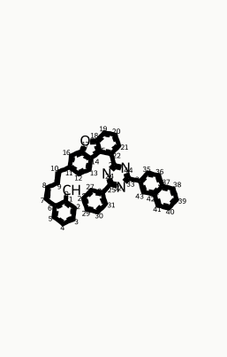 Cc1ccccc1/C=C\C=C\c1ccc2c(c1)oc1cccc(-c3nc(-c4ccccc4)nc(-c4ccc5ccccc5c4)n3)c12